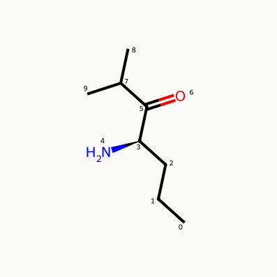 CCC[C@@H](N)C(=O)C(C)C